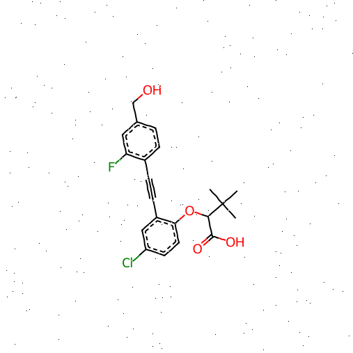 CC(C)(C)C(Oc1ccc(Cl)cc1C#Cc1ccc(CO)cc1F)C(=O)O